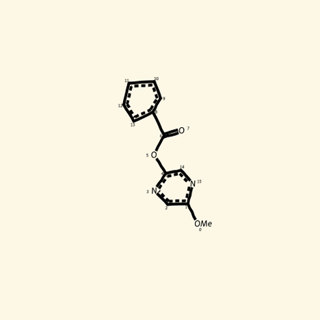 COc1cnc(OC(=O)c2ccccc2)cn1